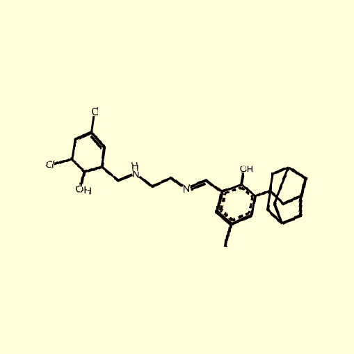 Cc1cc(/C=N/CCNCC2C=C(Cl)CC(Cl)C2O)c(O)c(C23CC4CC(CC(C4)C2)C3)c1